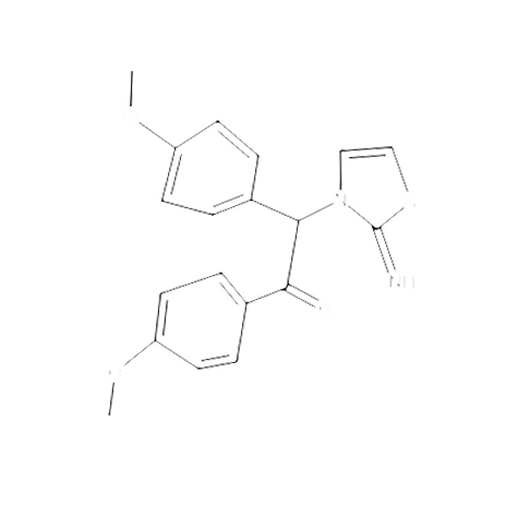 COc1ccc(C(=O)C(c2ccc(OC)cc2)n2ccsc2=N)cc1